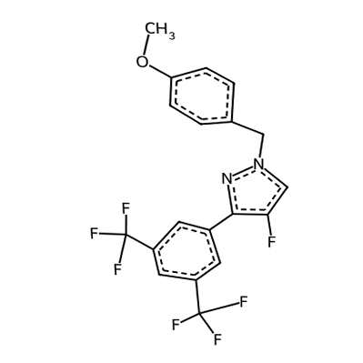 COc1ccc(Cn2cc(F)c(-c3cc(C(F)(F)F)cc(C(F)(F)F)c3)n2)cc1